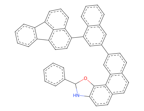 c1ccc(C2Nc3ccc4ccc5ccc(-c6cc(-c7ccc8c9c(cccc79)-c7ccccc7-8)c7ccccc7c6)cc5c4c3O2)cc1